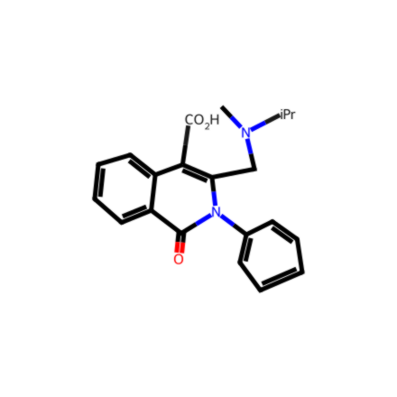 CC(C)N(C)Cc1c(C(=O)O)c2ccccc2c(=O)n1-c1ccccc1